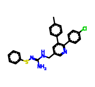 Cc1ccc(-c2cc(CN/C(N)=N/Sc3ccccc3)cnc2-c2ccc(Cl)cc2)cc1